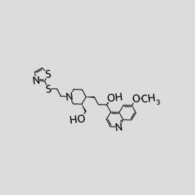 COc1ccc2nccc([C@H](O)CC[C@@H]3CCN(CCSc4nccs4)C[C@@H]3CO)c2c1